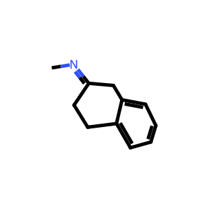 C/N=C1\CCc2ccccc2C1